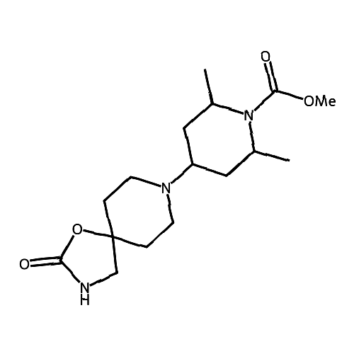 COC(=O)N1C(C)CC(N2CCC3(CC2)CNC(=O)O3)CC1C